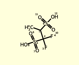 CC(C(F)(F)S(=O)(=O)O)S(=O)(=O)O